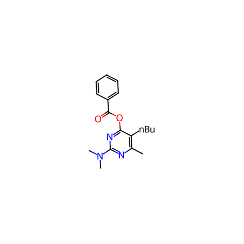 CCCCc1c(C)nc(N(C)C)nc1OC(=O)c1ccccc1